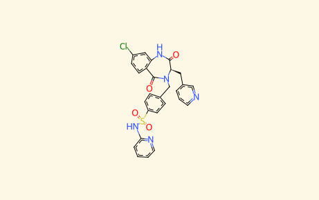 O=C1Nc2cc(Cl)ccc2C(=O)N(Cc2ccc(S(=O)(=O)Nc3ccccn3)cc2)[C@@H]1Cc1cccnc1